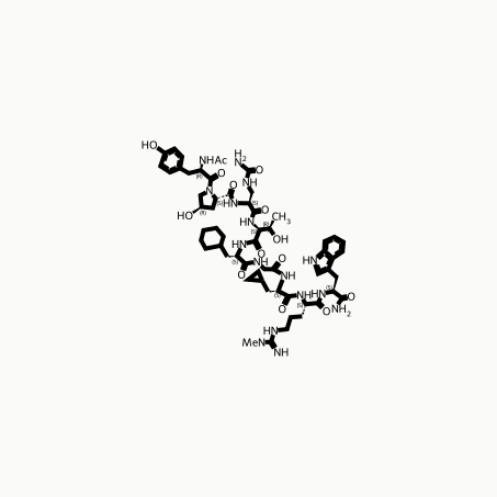 CNC(=N)NCCC[C@H](NC(=O)[C@H](CC1CC1)NC(=O)CNC(=O)[C@H](CC1CCCCC1)NC(=O)[C@@H](NC(=O)[C@H](CNC(N)=O)NC(=O)[C@@H]1C[C@@H](O)CN1C(=O)[C@@H](Cc1ccc(O)cc1)NC(C)=O)[C@@H](C)O)C(=O)N[C@@H](Cc1c[nH]c2ccccc12)C(N)=O